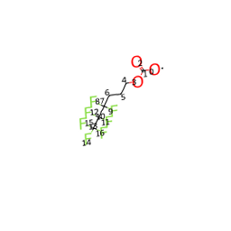 [O]C(=O)OCCCC(F)(F)C(F)(F)C(F)(F)F